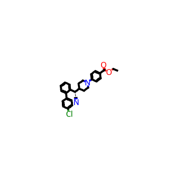 CCOC(=O)c1ccc(N2CCC([C@H](C#N)c3ccccc3-c3ccc(Cl)cc3)CC2)cc1